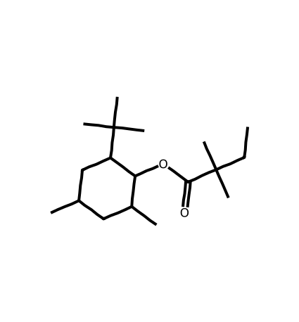 CCC(C)(C)C(=O)OC1C(C)CC(C)CC1C(C)(C)C